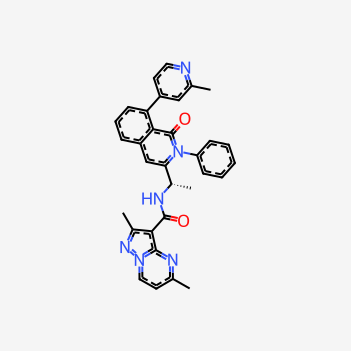 Cc1cc(-c2cccc3cc([C@H](C)NC(=O)c4c(C)nn5ccc(C)nc45)n(-c4ccccc4)c(=O)c23)ccn1